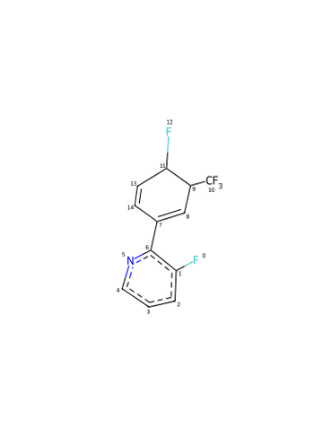 Fc1cccnc1C1=CC(C(F)(F)F)C(F)C=C1